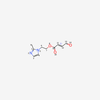 Cc1nccn1CCOC(=O)/C=C/C=O